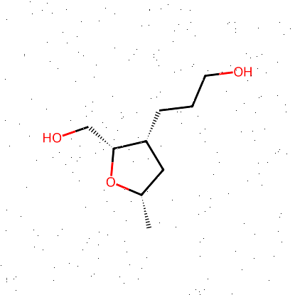 C[C@H]1C[C@@H](CCCO)[C@@H](CO)O1